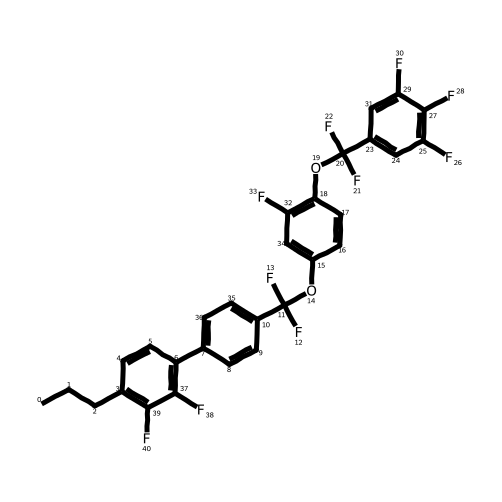 CCCc1ccc(-c2ccc(C(F)(F)Oc3ccc(OC(F)(F)c4cc(F)c(F)c(F)c4)c(F)c3)cc2)c(F)c1F